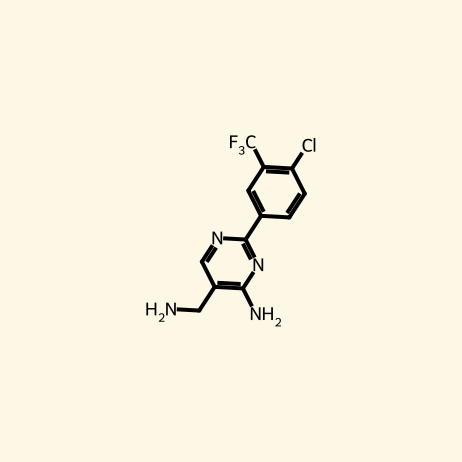 NCc1cnc(-c2ccc(Cl)c(C(F)(F)F)c2)nc1N